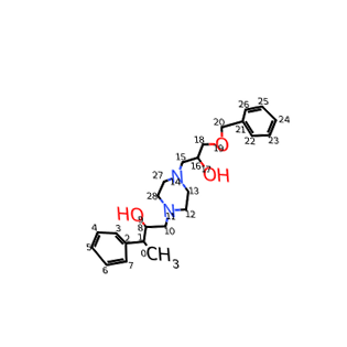 CC(c1ccccc1)C(O)CN1CCN(CC(O)COCc2ccccc2)CC1